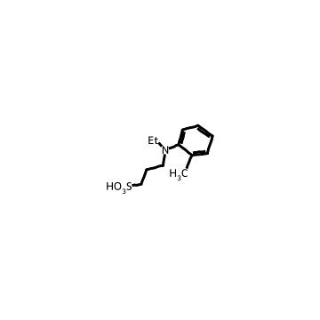 CCN(CCCS(=O)(=O)O)c1ccccc1C